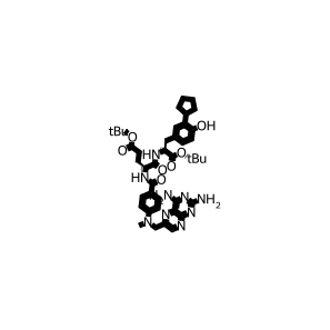 CN(Cc1cnc2nc(N)nc(N)c2n1)c1ccc(C(=O)N[C@@H](CCC(=O)OC(C)(C)C)C(=O)N[C@@H](Cc2ccc(O)c(C3CCCC3)c2)C(=O)OC(C)(C)C)cc1